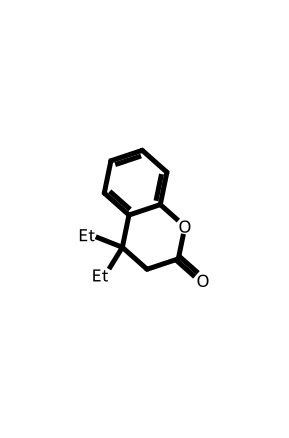 CCC1(CC)CC(=O)Oc2ccccc21